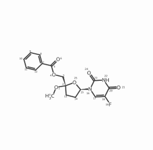 CO[C@@]1(COC(=O)c2ccccc2)CC[C@H](n2cc(F)c(=O)[nH]c2=O)O1